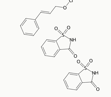 ClOCC=Cc1ccccc1.O=C1NS(=O)(=O)c2ccccc21.O=C1NS(=O)(=O)c2ccccc21